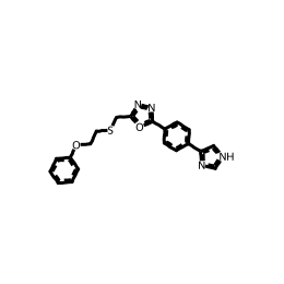 c1ccc(OCCSCc2nnc(-c3ccc(-c4c[nH]cn4)cc3)o2)cc1